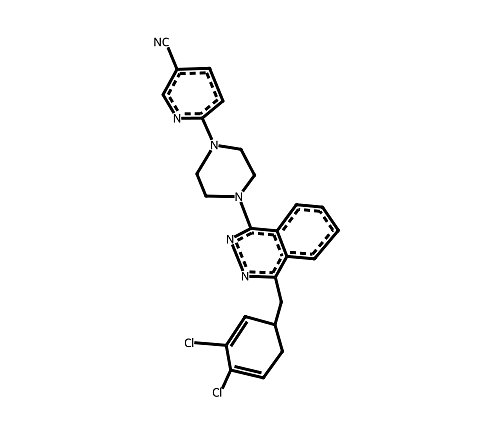 N#Cc1ccc(N2CCN(c3nnc(CC4C=C(Cl)C(Cl)=CC4)c4ccccc34)CC2)nc1